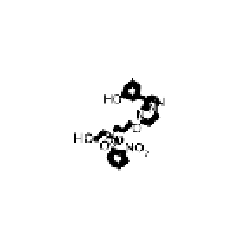 O=[N+]([O-])c1ccccc1S(=O)(=O)N(CCO)CCCOc1ccn2ncc(-c3cccc(O)c3)c2n1